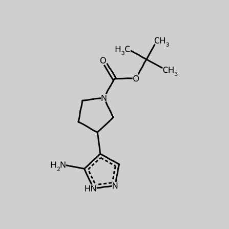 CC(C)(C)OC(=O)N1CCC(c2cn[nH]c2N)C1